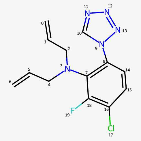 C=CCN(CC=C)c1c(-n2cnnn2)ccc(Cl)c1F